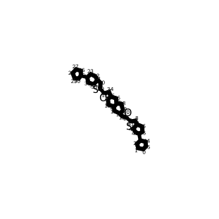 c1ccc(-c2ccc3cc(-c4cc5cc6cc7oc(-c8cc9ccc(-c%10ccccc%10)cc9s8)cc7cc6cc5o4)sc3c2)cc1